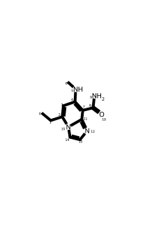 CCc1cc(NC)c(C(N)=O)c2nccn12